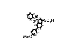 COc1ccc(-c2ccc3c(C(=O)O)cn(S(=O)(=O)c4cccnc4)c3c2)cn1